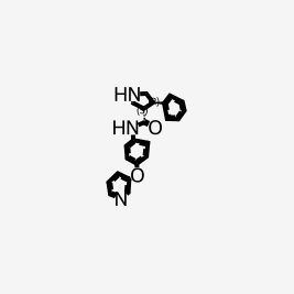 O=C(Nc1ccc(Oc2cccnc2)cc1)[C@@H]1CNC[C@H]1c1ccccc1